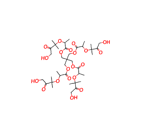 CC(OC(C)(C)C(=O)CO)C(=O)OCC(COC(=O)C(C)OC(C)(C)C(=O)CO)(COC(=O)C(C)OC(C)(C)C(=O)CO)COC(=O)C(C)OC(C)(C)C(=O)CO